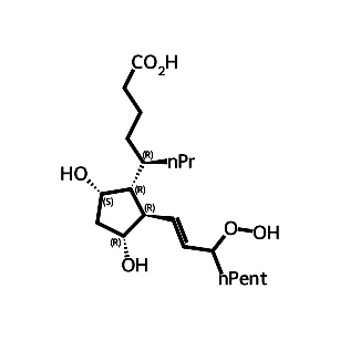 CCCCCC(C=C[C@@H]1[C@@H]([C@H](CCC)CCCC(=O)O)[C@@H](O)C[C@H]1O)OO